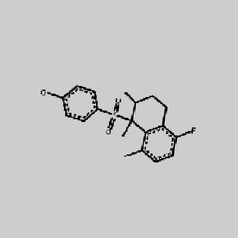 CC1CCc2c(F)ccc(F)c2C1(C)S(=O)(=O)c1ccc(Cl)cc1